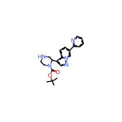 CC(C)(C)OC(=O)N1CCNCC1c1cnn2cc(-c3ccccn3)ccc12